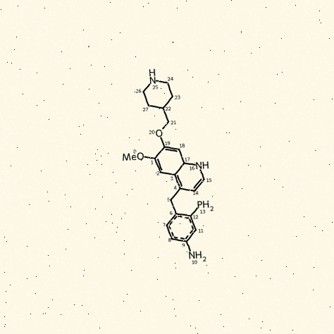 COC1=CC2=C(Cc3ccc(N)cc3P)C=CNC2C=C1OCC1CCNCC1